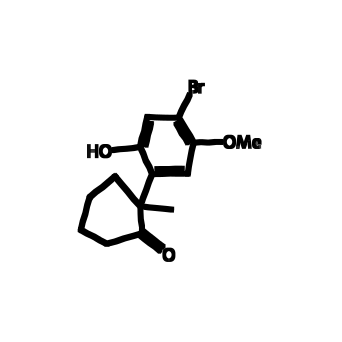 COc1cc(C2(C)CCCCC2=O)c(O)cc1Br